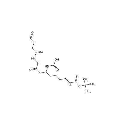 CC(C)(C)OC(=O)NCCCCC(CC(=O)ONC(=O)CCC=O)NC(=O)O